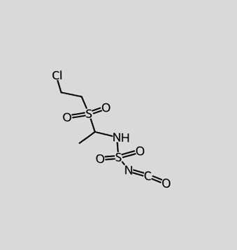 CC(NS(=O)(=O)N=C=O)S(=O)(=O)CCCl